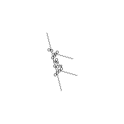 CCCCCCCCCCCCC(=O)OCC(COC(=O)CCCCCCCCCCCC)CC(=O)OCCN(CCOC(=O)CC(COC(=O)CCCCCCCCCCCC)COC(=O)CCCCCCCCCCCC)C(=O)N(C)CCCN(C)C